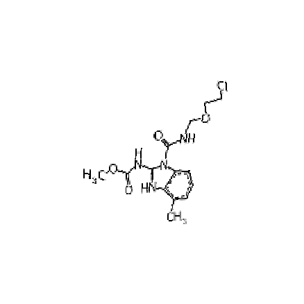 COC(=O)NC1Nc2c(C)cccc2N1C(=O)NCOCCCl